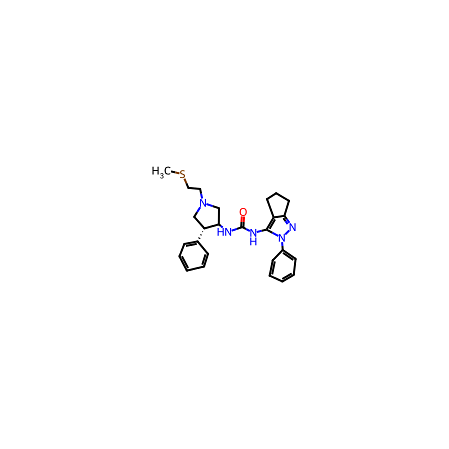 CSCCN1CC(NC(=O)Nc2c3c(nn2-c2ccccc2)CCC3)[C@H](c2ccccc2)C1